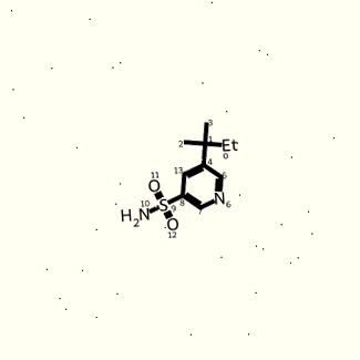 CCC(C)(C)c1cncc(S(N)(=O)=O)c1